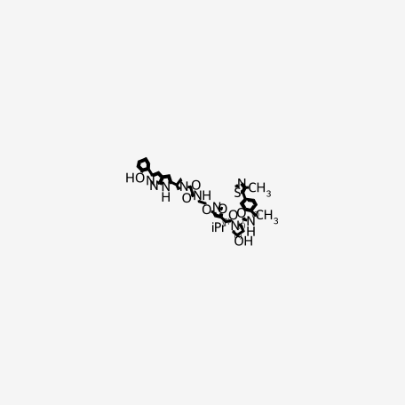 Cc1ncsc1-c1ccc([C@H](C)NC(=O)[C@@H]2C[C@@H](O)CN2C(=O)[C@@H](c2cc(OCCNC(=O)C(=O)N3CC(c4cc5cc(-c6ccccc6O)nnc5[nH]4)C3)no2)C(C)C)cc1